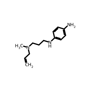 C=CCN(C)CCCNc1ccc(N)cc1